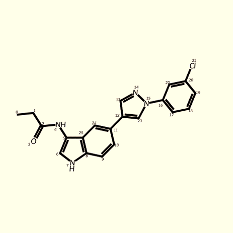 CCC(=O)Nc1c[nH]c2ccc(-c3cnn(-c4cccc(Cl)c4)c3)cc12